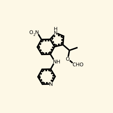 CC(OC=O)c1c[nH]c2c([N+](=O)[O-])ccc(Nc3cccnc3)c12